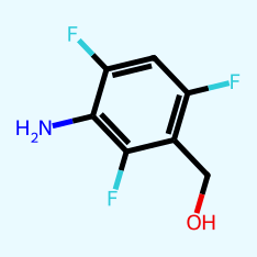 Nc1c(F)cc(F)c(CO)c1F